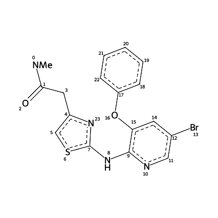 CNC(=O)Cc1csc(Nc2ncc(Br)cc2Oc2ccccc2)n1